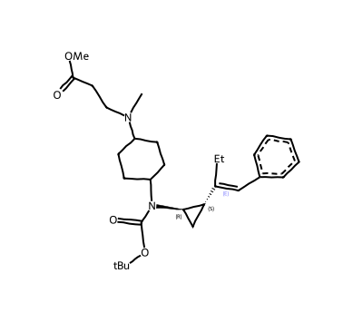 CC/C(=C\c1ccccc1)[C@@H]1C[C@H]1N(C(=O)OC(C)(C)C)C1CCC(N(C)CCC(=O)OC)CC1